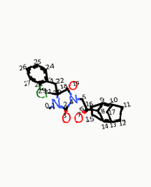 CN1C(=O)N(CC(=O)C2C3=C4CCC(=C2CC3)C4)C(=O)C1(C)Cc1ccccc1Cl